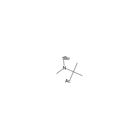 CC(=O)C(C)(C)N(C)C(C)(C)C